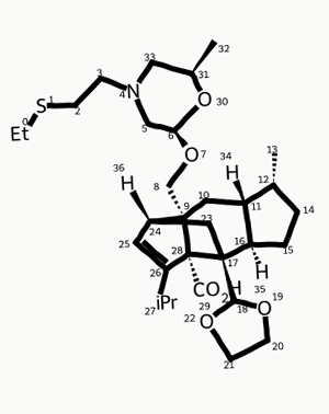 CCSCCN1C[C@H](OC[C@@]23C[C@@H]4[C@H](C)CC[C@H]4[C@@]4(C5OCCO5)C[C@@H]2C=C(C(C)C)[C@@]34C(=O)O)O[C@H](C)C1